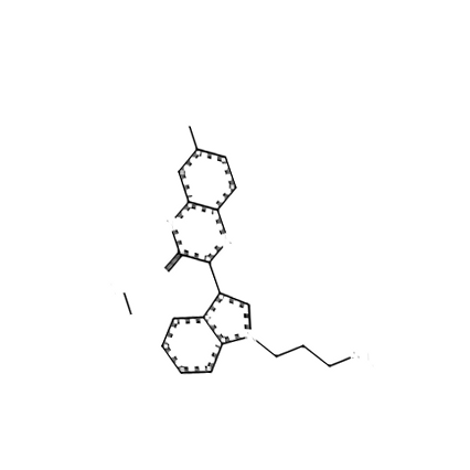 CC(=O)O.NCCCn1cc(-c2nc3ccc(F)cc3[nH]c2=O)c2ccccc21